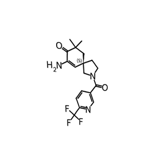 CC1(C)C[C@@]2(C=C(N)C1=O)CCN(C(=O)c1ccc(C(F)(F)F)nc1)C2